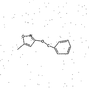 Cc1cc(OCc2ccccc2)no1